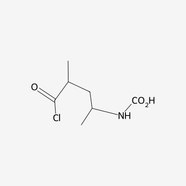 CC(CC(C)C(=O)Cl)NC(=O)O